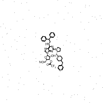 O=C(O[C@H]1[C@@H](O)[C@H](n2cnc3c(NCC(c4ccccc4)c4ccccc4)nc(N4CCC[C@@H]4CN4CCC(Cc5ccccc5)CC4)nc32)O[C@@H]1CO)C(F)(F)F